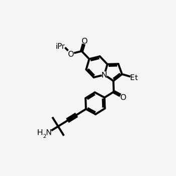 CCc1cc2cc(C(=O)OC(C)C)ccn2c1C(=O)c1ccc(C#CC(C)(C)N)cc1